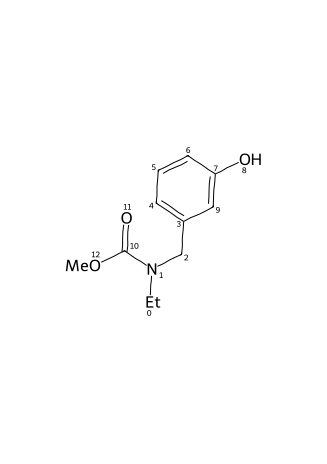 CCN(Cc1cccc(O)c1)C(=O)OC